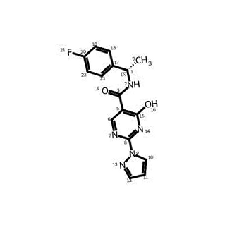 C[C@H](NC(=O)c1cnc(-n2cccn2)nc1O)c1ccc(F)cc1